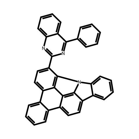 c1ccc(-c2nc(-c3ccc4c5ccccc5c5ccc6c7ccccc7n7c3c4c5c67)nc3ccccc23)cc1